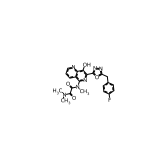 CN(C)C(=O)C(=O)N(C)c1nc(-c2nnc(Cc3ccc(F)cc3)o2)c(O)c2ncccc12